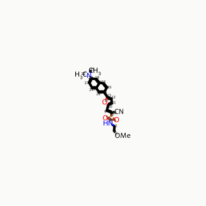 COCCNS(=O)(=O)/C(C#N)=C/c1ccc(-c2ccc3cc(N(C)C)ccc3c2)o1